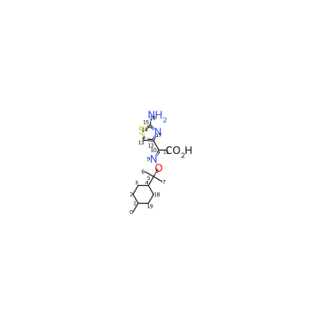 CC1CCC(C(C)(C)O/N=C(\C(=O)O)c2csc(N)n2)CC1